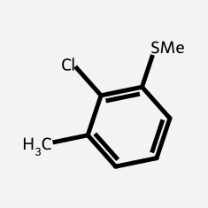 CSc1cccc(C)c1Cl